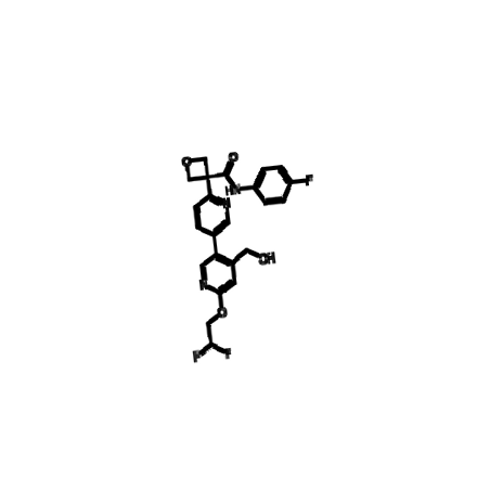 O=C(Nc1ccc(F)cc1)C1(c2ccc(-c3cnc(OCC(F)F)cc3CO)cn2)COC1